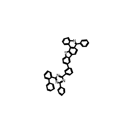 c1ccc(-c2nc(-c3cccc(-c4ccc5sc6c(ccc7c(-c8ccccc8)nc8ccccc8c76)c5c4)c3)nc(-c3ccccc3-c3ccccc3)n2)cc1